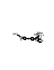 NNC(=O)c1cc(-c2ccc(C#Cc3ccc(C(=O)NCCCO)cc3)cc2)nc2ccncc12